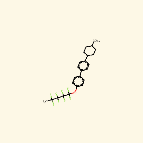 CCCCCCCCC1CCC(c2ccc(-c3ccc(OC(F)(F)C(F)(F)C(F)(F)C(F)(F)C(F)(F)F)cc3)cc2)CC1